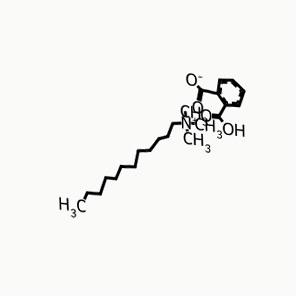 CCCCCCCCCCCC[N+](C)(C)C.O=C([O-])c1ccccc1C(=O)O